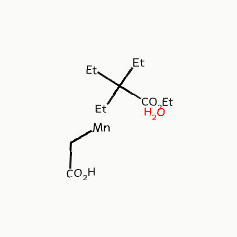 CCOC(=O)C(CC)(CC)CC.O.O=C(O)[CH2][Mn]